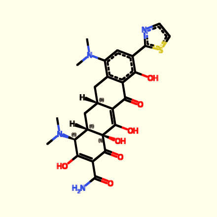 CN(C)c1cc(-c2nccs2)c(O)c2c1C[C@H]1C[C@H]3[C@H](N(C)C)C(O)=C(C(N)=O)C(=O)[C@@]3(O)C(O)=C1C2=O